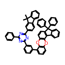 CC1(C)c2ccccc2-c2ccc(-c3nc(-c4ccccc4)nc(-c4cccc(-c5cccc6c5Oc5ccc7c(c5O6)-c5ccccc5C7(c5ccccc5)c5ccccc5)c4)n3)cc21